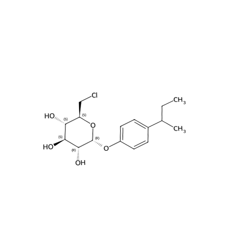 CCC(C)c1ccc(O[C@H]2O[C@H](CCl)[C@@H](O)[C@H](O)[C@H]2O)cc1